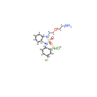 Cl.NCCOCCN1c2ccccc2N(c2ccc(F)cc2F)S1(=O)=O